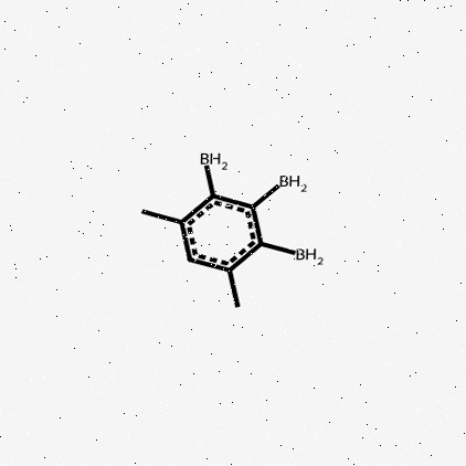 Bc1c(C)cc(C)c(B)c1B